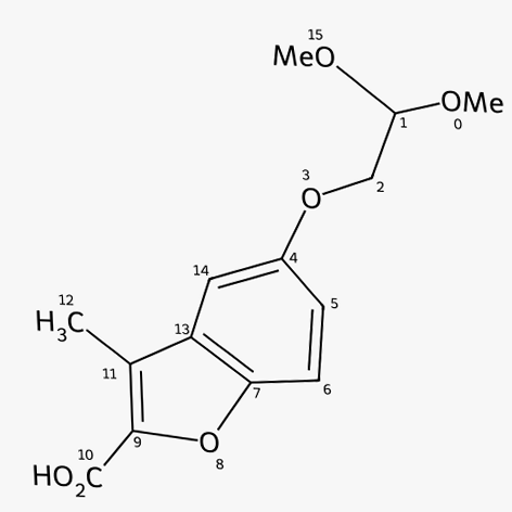 COC(COc1ccc2oc(C(=O)O)c(C)c2c1)OC